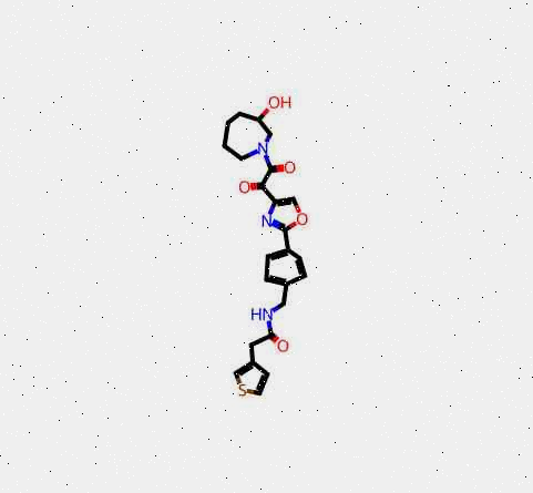 O=C(Cc1ccsc1)NCc1ccc(-c2nc(C(=O)C(=O)N3CCCCC(O)C3)co2)cc1